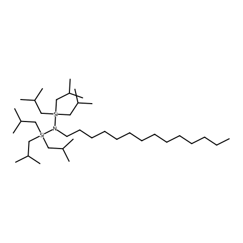 CCCCCCCCCCCCCCN([Si](CC(C)C)(CC(C)C)CC(C)C)[Si](CC(C)C)(CC(C)C)CC(C)C